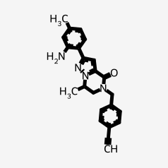 C#Cc1ccc(CN2CC(C)n3nc(-c4ccc(C)cc4N)cc3C2=O)cc1